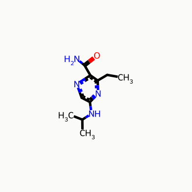 CCc1nc(NC(C)C)cnc1C(N)=O